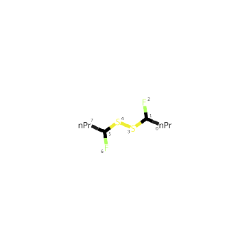 CCCC(F)SSC(F)CCC